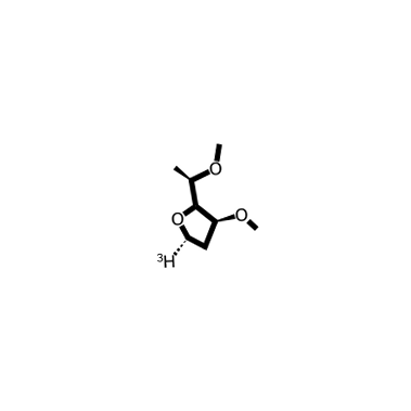 [3H][C@H]1C[C@H](OC)C([C@@H](C)OC)O1